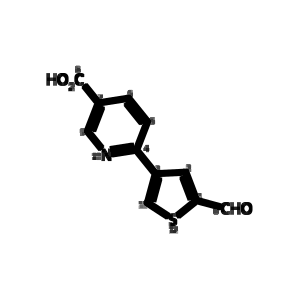 O=Cc1cc(-c2ccc(C(=O)O)cn2)cs1